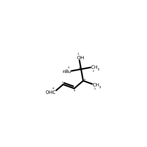 CCCCC(C)(O)C(C)/C=C/C=O